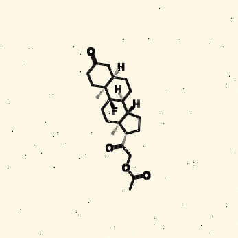 CC(=O)OCC(=O)[C@H]1CC[C@H]2[C@@H]3CC[C@@H]4CC(=O)CC[C@]4(C)[C@@]3(F)CC[C@]12C